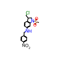 CS(=O)(=O)N1CC(CCl)c2ccc(NCc3ccc([N+](=O)[O-])cc3)cc21